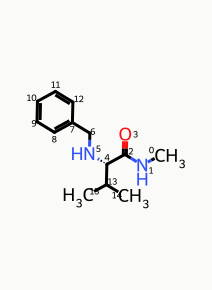 CNC(=O)[C@@H](NCc1ccccc1)C(C)C